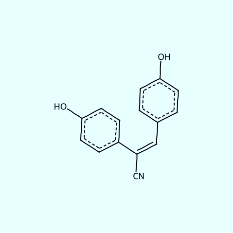 N#CC(=Cc1ccc(O)cc1)c1ccc(O)cc1